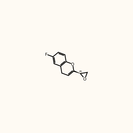 Fc1ccc2c(c1)CC=C([C@H]1CO1)O2